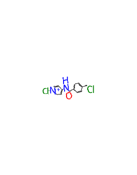 O=C(Nc1cc[n+](Cl)cc1)c1ccc(CCl)cc1